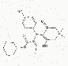 CC1=C(C(=O)OC2CCCCC2)C(c2ccc(C#N)cc2)C2=C(CC(C)(C)CC2=O)N1